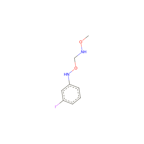 CONCONc1cccc(I)c1